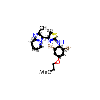 COCCOc1cc(Br)c(Nc2nc(-c3c(C)nc4ccccn34)cs2)c(Br)c1